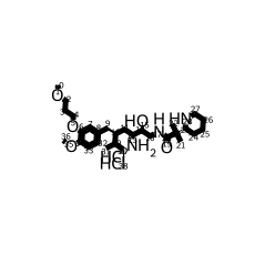 COCCCOc1cc(C[C@@H](C[C@H](N)[C@@H](O)CNC(=O)C(C)(C)[C@H]2CCCCN2)C(C)C)ccc1OC.Cl.Cl